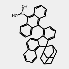 OB(O)c1c2ccccc2c(-c2cccc3c2-c2ccc4ccccc4c2C32C3CC4CC(C3)CC2C4)c2ccccc12